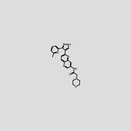 Cc1cccc(-c2n[nH]cc2-c2ccc3ncc(NC(=O)CN4CCOCC4)cc3n2)n1